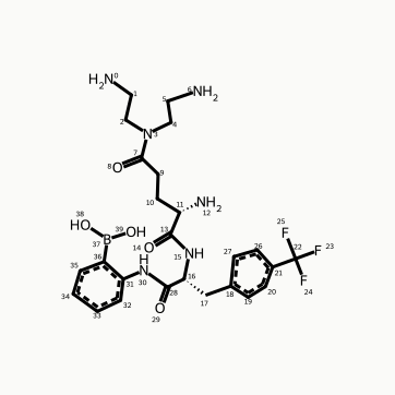 NCCN(CCN)C(=O)CC[C@H](N)C(=O)N[C@H](Cc1ccc(C(F)(F)F)cc1)C(=O)Nc1ccccc1B(O)O